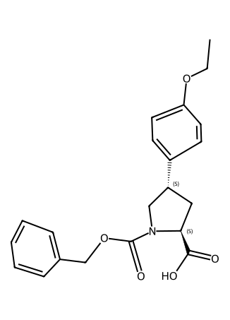 CCOc1ccc([C@@H]2C[C@@H](C(=O)O)N(C(=O)OCc3ccccc3)C2)cc1